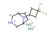 Cl.Cl.FC1(F)CC(N2C3CCC2CNC3)C1